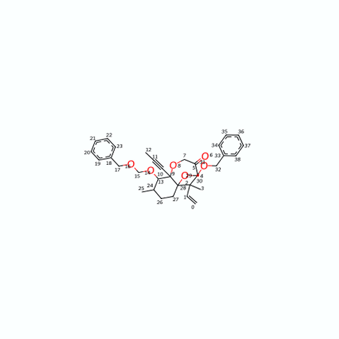 C=CC1(C)CC(=O)COC2(C#CC)C(OCOCc3ccccc3)C(C)CCC12OCOCc1ccccc1